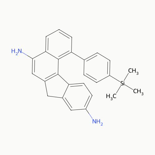 C[Si](C)(C)c1ccc(-c2cccc3c(N)cc4c(c23)-c2ccc(N)cc2C4)cc1